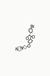 CN1CCN(C2CC(Oc3ccc4c(=O)c(-c5ccc(Br)cc5)coc4c3)C2)CC1